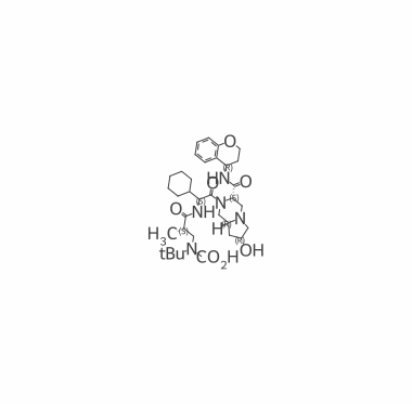 C[C@@H](CN(C(=O)O)C(C)(C)C)C(=O)N[C@H](C(=O)N1C[C@H]2C[C@@H](O)CN2C[C@H]1C(=O)N[C@@H]1CCOc2ccccc21)C1CCCCC1